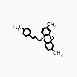 Cc1ccc(/C=C/CN2c3ccc(C)cc3Oc3cc(C)ccc32)cc1